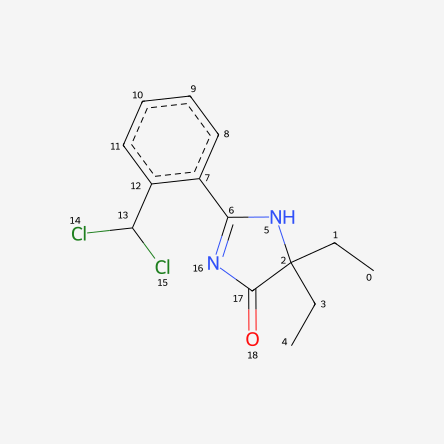 CCC1(CC)NC(c2ccccc2C(Cl)Cl)=NC1=O